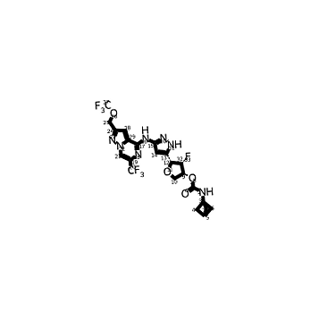 O=C(NC12CC(C1)C2)O[C@@H]1CO[C@H](c2cc(Nc3nc(C(F)(F)F)cn4nc(COC(F)(F)F)cc34)n[nH]2)[C@@H]1F